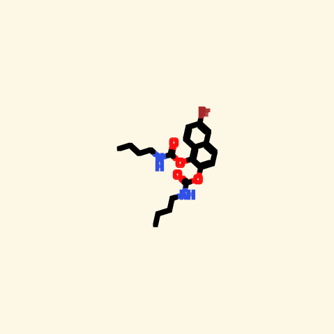 CCCCNC(=O)Oc1ccc2cc(Br)ccc2c1OC(=O)NCCCC